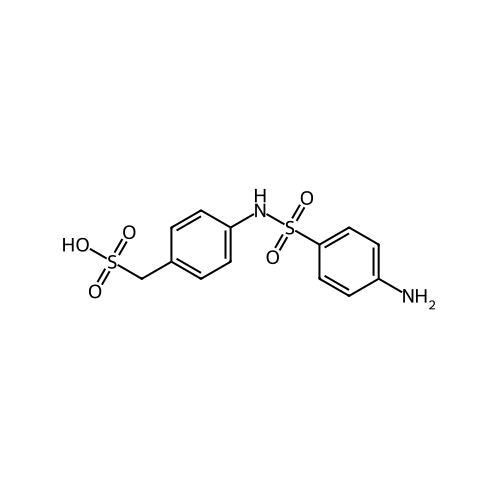 Nc1ccc(S(=O)(=O)Nc2ccc(CS(=O)(=O)O)cc2)cc1